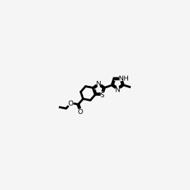 CCOC(=O)C1CCc2nc(-c3c[nH]c(C)n3)sc2C1